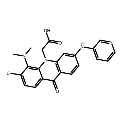 CN(C)c1c(Cl)ccc2c(=O)c3ccc(Nc4cccnc4)cc3n(CC(=O)O)c12